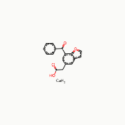 O=C(O)Cc1cc(C(=O)c2ccccc2)c2occc2c1.[CaH2]